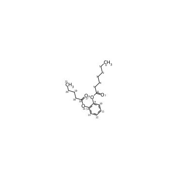 CCCCCCC(=O)Oc1ccccc1OC(=O)CCCC